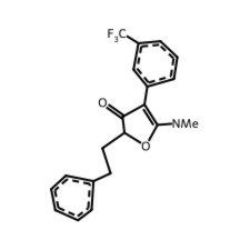 CNC1=C(c2cccc(C(F)(F)F)c2)C(=O)C(CCc2ccccc2)O1